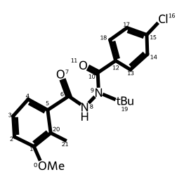 COc1cccc(C(=O)NN(C(=O)c2ccc(Cl)cc2)C(C)(C)C)c1C